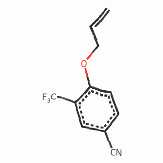 C=CCOc1ccc(C#N)cc1C(F)(F)F